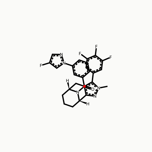 Cn1nc2c(c1-c1cc(F)c(F)c(F)c1)C[C@H]1CCC[C@@H]2N1C(=O)c1cccc(-n2cc(F)cn2)c1